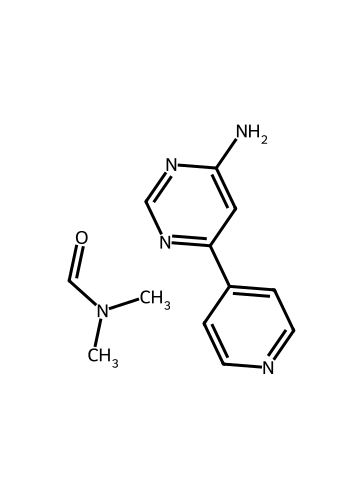 CN(C)C=O.Nc1cc(-c2ccncc2)ncn1